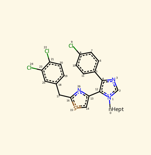 CCCCCCCn1cnc(-c2ccc(Cl)cc2)c1-c1csc(Cc2ccc(Cl)c(Cl)c2)n1